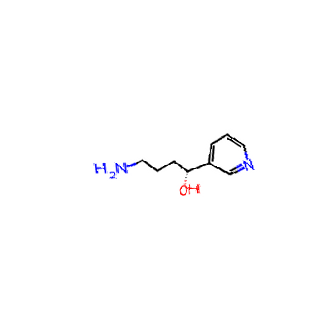 NCCC[C@@H](O)c1cccnc1